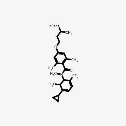 CCCCCC(C)CCOc1cc(C)c(C(=O)N(C)C2C(C(F)(F)F)=CC=C(C3CC3)C2C)c(C)c1